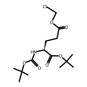 CC(C)(C)OC(=O)N[C@@H](CCC(=O)OCCl)C(=O)OC(C)(C)C